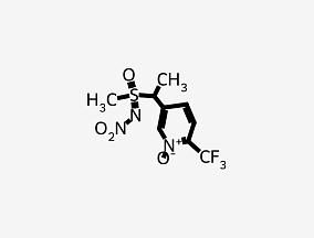 CC(c1ccc(C(F)(F)F)[n+]([O-])c1)S(C)(=O)=N[N+](=O)[O-]